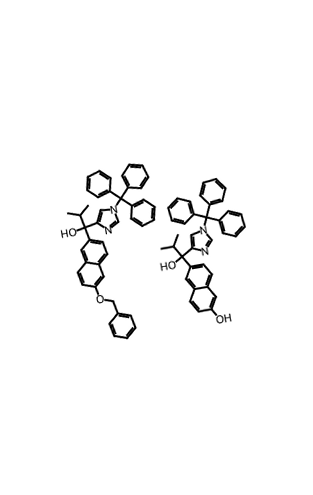 CC(C)C(O)(c1ccc2cc(O)ccc2c1)c1cn(C(c2ccccc2)(c2ccccc2)c2ccccc2)cn1.CC(C)C(O)(c1ccc2cc(OCc3ccccc3)ccc2c1)c1cn(C(c2ccccc2)(c2ccccc2)c2ccccc2)cn1